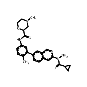 Cc1ccc(NC(=O)C2CN(C)CCO2)cc1-c1ccc2cc(N(N)C(=O)C3CC3)ncc2c1